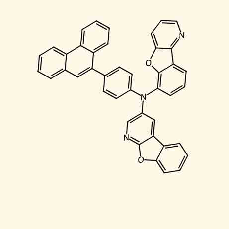 c1ccc2c(c1)cc(-c1ccc(N(c3cnc4oc5ccccc5c4c3)c3cccc4c3oc3cccnc34)cc1)c1ccccc12